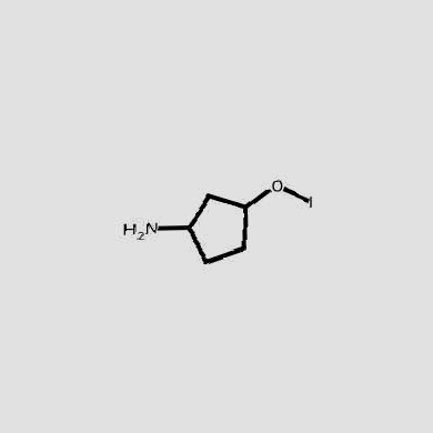 NC1CCC(OI)C1